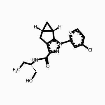 O=C(N[C@H](CO)CC(F)(F)F)c1nn(-c2cc(Cl)ccn2)c2c1C[C@@H]1C[C@H]21